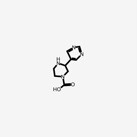 O=C(O)N1CCNC(c2cncnc2)C1